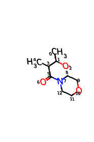 CC([O])C(C)C(=O)N1CCOCC1